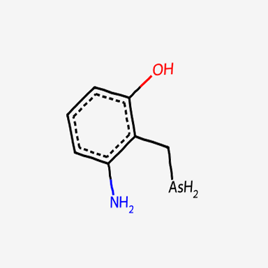 Nc1cccc(O)c1C[AsH2]